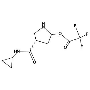 O=C(NC1CC1)[C@@H]1CNC(OC(=O)C(F)(F)F)C1